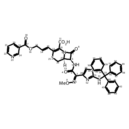 CO/N=C(\C(=O)N[C@@H]1C(=O)N2C(C(=O)O)=C(/C=C/COC(=O)c3cccnc3)SC[C@H]12)c1csc(NC(c2ccccc2)(c2ccccc2)c2ccccc2)n1